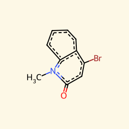 Cn1c(=O)cc(Br)c2ccccc21